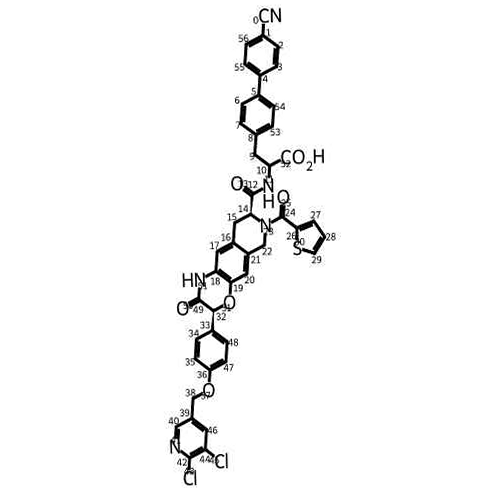 N#Cc1ccc(-c2ccc(CC(NC(=O)[C@@H]3Cc4cc5c(cc4CN3C(=O)c3cccs3)O[C@@H](c3ccc(OCc4cnc(Cl)c(Cl)c4)cc3)C(=O)N5)C(=O)O)cc2)cc1